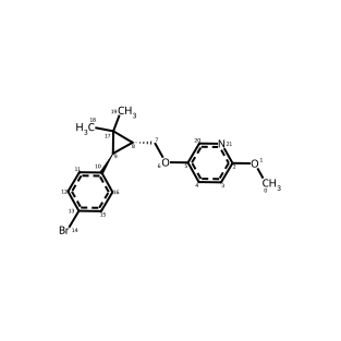 COc1ccc(OC[C@@H]2[C@@H](c3ccc(Br)cc3)C2(C)C)cn1